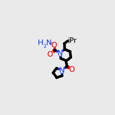 CC(C)CC1CCC(C(=O)N2CCCC2)CN1C(=O)ON